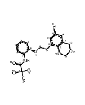 O=C(Nc1ccccc1OCCc1cc(Cl)cc2c1OCOC2)C(Cl)(Cl)Cl